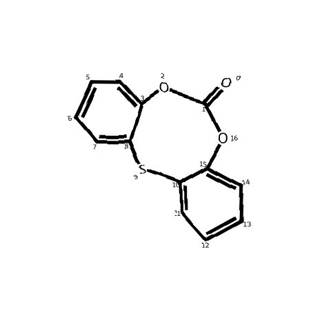 O=c1oc2ccccc2sc2ccccc2o1